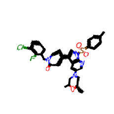 Cc1ccc(S(=O)(=O)n2cc(-c3ccn(Cc4cccc(Cl)c4F)c(=O)c3)c3cc(N4CC(C)OC(C)C4)cnc32)cc1